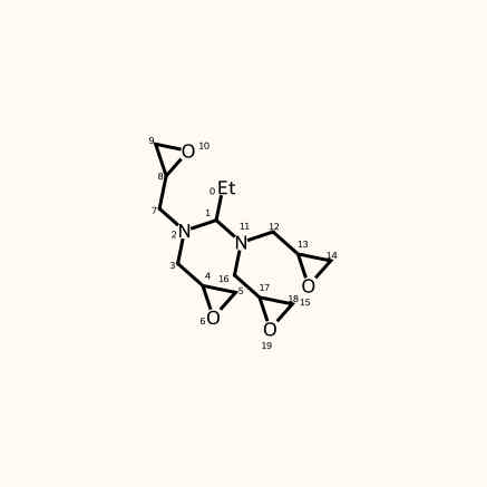 CCC(N(CC1CO1)CC1CO1)N(CC1CO1)CC1CO1